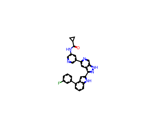 O=C(Nc1cncc(-c2cc3c(-c4cc5c(-c6cccc(F)c6)cccc5[nH]4)n[nH]c3cn2)c1)C1CC1